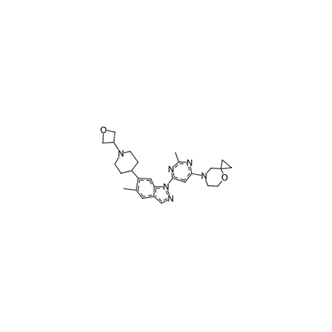 Cc1nc(N2CCOC3(CC3)C2)cc(-n2ncc3cc(C)c(C4CCN(C5COC5)CC4)cc32)n1